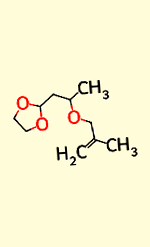 C=C(C)COC(C)CC1OCCO1